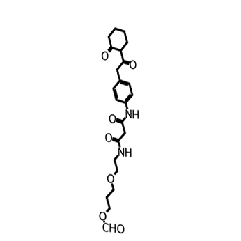 O=COCCCOCCNC(=O)CC(=O)Nc1ccc(CC(=O)C2CCCCC2=O)cc1